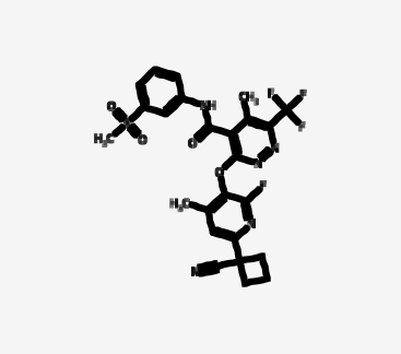 Cc1cc(C2(C#N)CCC2)nc(F)c1Oc1nnc(C(F)(F)F)c(C)c1C(=O)Nc1cccc(S(C)(=O)=O)c1